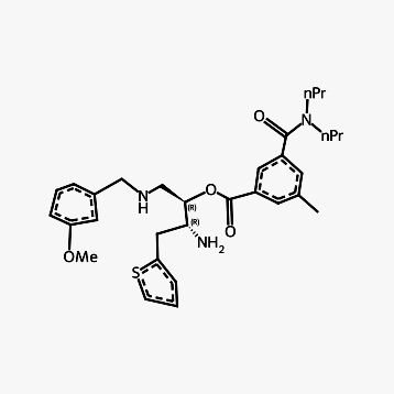 CCCN(CCC)C(=O)c1cc(C)cc(C(=O)O[C@H](CNCc2cccc(OC)c2)[C@H](N)Cc2cccs2)c1